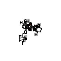 Cc1noc(N2C[C@H]3CC[C@@H](C2)[C@@H]3Nc2nc3c(OCC(F)(F)C(F)(F)F)ccc(C)n3n2)n1